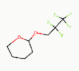 FC(F)(F)C(F)(F)COC1CCCCO1